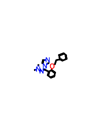 CN(C)N=C(c1ccccc1OCCc1ccccc1)n1ccnc1